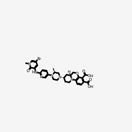 C[C@H]1CN([C@H]2CCN3c4ccc(C(=O)O)c(C(=O)O)c4OC[C@H]3C2)CCN1c1ccc(Nc2cc(Br)cn(C)c2=O)nc1